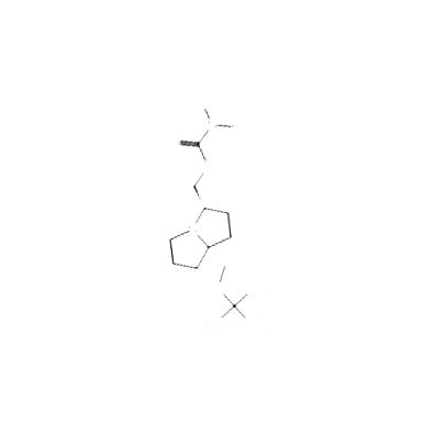 CN(C)C(=O)OC[C@H]1CC[C@@]2(COC(C)(C)C)CCCN12